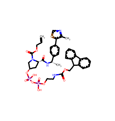 C=CCOC(=O)N1C[C@H](OP(=O)(O)OP(=O)(O)OCCNC(=O)OCC2c3ccccc3-c3ccccc32)C[C@H]1C(=O)N[C@@H](C)c1ccc(-c2scnc2C)cc1